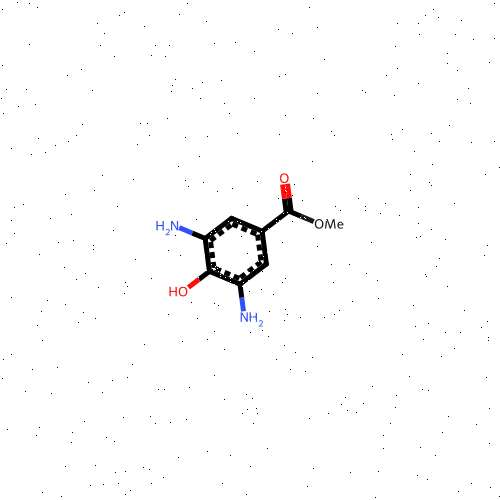 COC(=O)c1cc(N)c(O)c(N)c1